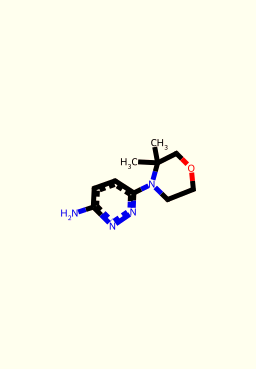 CC1(C)COCCN1c1ccc(N)nn1